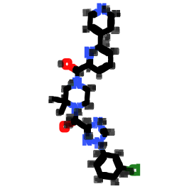 CC1(C)CN(C(=O)c2cccc(-c3ccncc3)n2)CCN1C(=O)c1ncn(-c2cccc(Cl)c2)n1